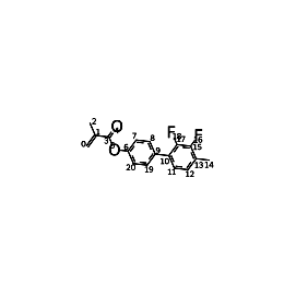 C=C(C)C(=O)Oc1ccc(-c2ccc(C)c(F)c2F)cc1